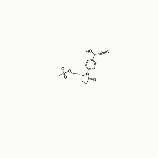 CCCCCC(O)c1ccc(N2C(=O)CC[C@@H]2CCOS(C)(=O)=O)cc1